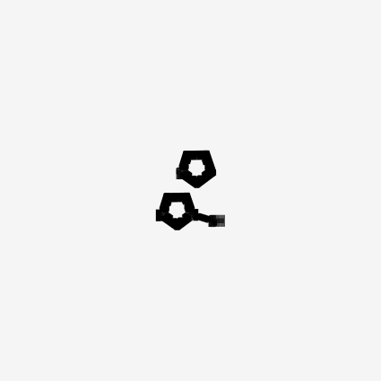 Sn1ccnc1.c1ccsc1